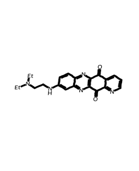 CCN(CC)CCNc1ccc2nc3c(nc2c1)C(=O)c1ncccc1C3=O